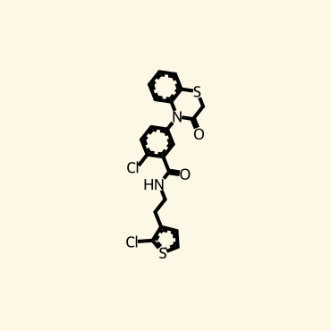 O=C(NCCc1ccsc1Cl)c1cc(N2C(=O)CSc3ccccc32)ccc1Cl